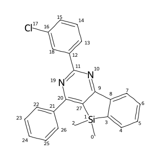 C[Si]1(C)c2ccccc2-c2nc(-c3cccc(Cl)c3)nc(-c3ccccc3)c21